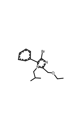 CCOCc1nc(Br)c(-c2ccccc2)n1CC(C)C